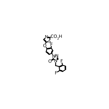 O=C(O)c1ncc(Oc2ccc(-n3ncn(Cc4c(F)cccc4F)c3=O)cc2F)s1